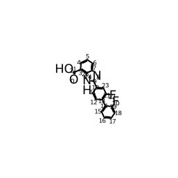 O=C(O)c1cccc2nc(-c3ccc(-c4ccccc4F)c(F)c3)[nH]c12